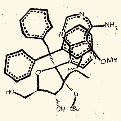 COc1cccc(C(c2ccccc2)(c2ccccc2)[C@@]2(n3cnc4c(N)ncnc43)O[C@H](CO)[C@@H](O)[C@]2(OC(C)(C)C)[SiH](C)C)c1